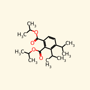 CC(C)OC(=O)c1ccc(C(C)C)c(C(C)C)c1C(=O)OC(C)C